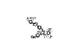 CCCCCCCOc1ccc(-c2cnc(-c3ccc(C[C@H](NC(=O)c4ccc(C(C)(C)C)cc4)C(=O)NC(C(=O)O)c4cccc(C(F)(F)F)c4)cc3)nc2)cc1